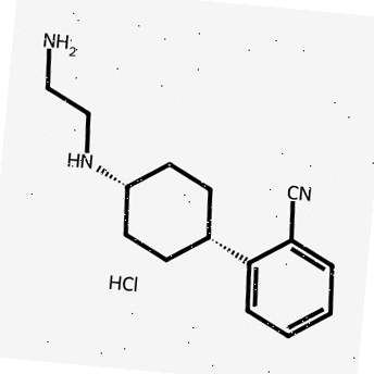 Cl.N#Cc1ccccc1[C@H]1CC[C@@H](NCCN)CC1